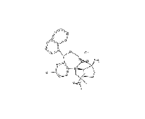 CC(=O)[C@H]1CC[C@@](N)(C(=O)O)[C@@H]1[N+]1(CC(C)(C)C)C(=O)COC(c2cccc3ccccc23)c2cc(Cl)ccc21